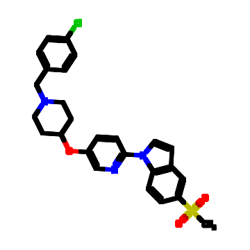 CS(=O)(=O)c1ccc2c(ccn2-c2ccc(OC3CCN(Cc4ccc(Cl)cc4)CC3)cn2)c1